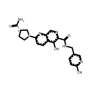 N#Cc1ccc(CNC(=O)c2ncc3nc(N4CC[C@H](C(N)=O)C4)ccc3c2O)cn1